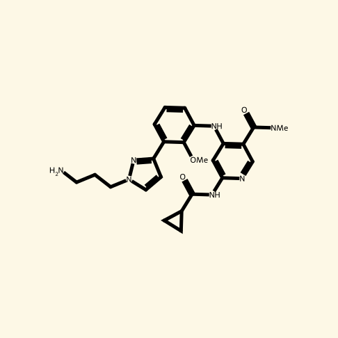 CNC(=O)c1cnc(NC(=O)C2CC2)cc1Nc1cccc(-c2ccn(CCCN)n2)c1OC